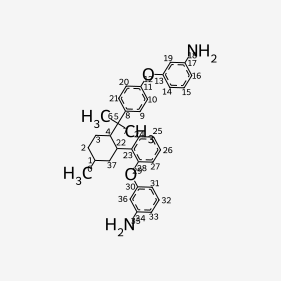 CC1CCC(C(C)(C)c2ccc(Oc3cccc(N)c3)cc2)C(c2ccccc2Oc2cccc(N)c2)C1